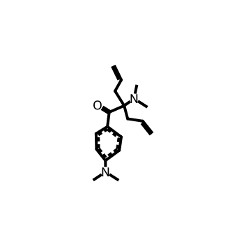 C=CCC(CC=C)(C(=O)c1ccc(N(C)C)cc1)N(C)C